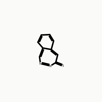 S=c1cc2ccccc2cnn1